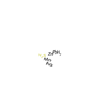 S.[Ag].[Mn].[PbH2].[Zn]